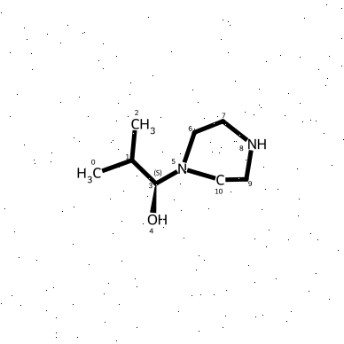 CC(C)[C@H](O)N1CCNCC1